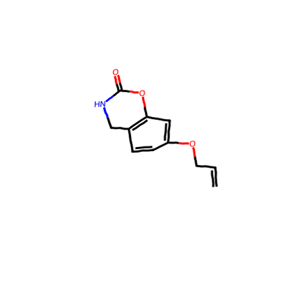 C=CCOc1ccc2c(c1)OC(=O)NC2